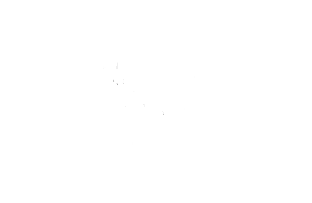 CCOc1ccc2c(c1)N(C)CC2(C)C